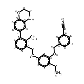 Cc1c(COc2ccc(CN)c(OCc3cccc(C#N)c3)c2)cccc1-c1ccc2c(c1)OCCO2